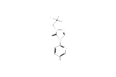 O=c1n(-c2ccc(I)cn2)cnn1CC(F)(F)F